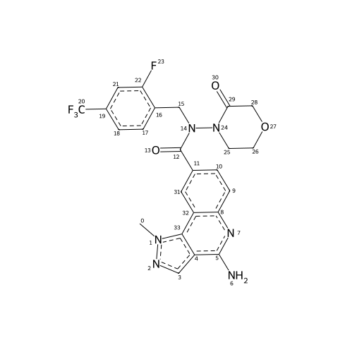 Cn1ncc2c(N)nc3ccc(C(=O)N(Cc4ccc(C(F)(F)F)cc4F)N4CCOCC4=O)cc3c21